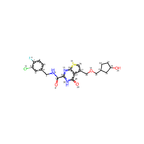 O=C(NCc1ccc(F)c(Cl)c1)c1nc2scc(COCC3CCC(O)C3)c2c(=O)[nH]1